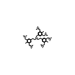 Cc1c(CN(C)C)cc(CCN(CCc2cc(CN(C)C)c(C)c(CN(C)C)c2)Cc2cc(CN(C)C)c(C)c(CN(C)C)c2)cc1CN(C)C